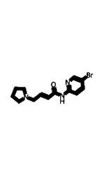 O=C(C=CCN1CCCC1)Nc1ccc(Br)cn1